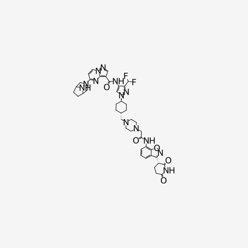 O=C1CC[C@H](c2noc3c(NC(=O)CN4CCN(C[C@H]5CC[C@H](n6cc(NC(=O)c7cnn8ccc(N9CC%10CCC(C9)N%10)nc78)c(C(F)F)n6)CC5)CC4)cccc23)C(=O)N1